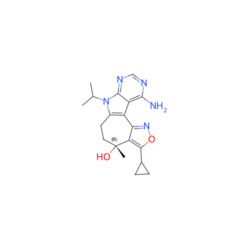 CC(C)n1c2c(c3c(N)ncnc31)-c1noc(C3CC3)c1[C@](C)(O)CC2